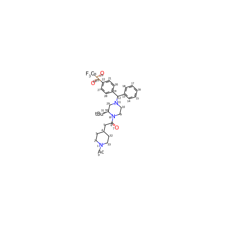 CC(=O)N1CCC(CC(=O)N2CCN(C(c3ccccc3)c3ccc(S(=O)(=O)C(F)(F)F)cc3)C[C@@H]2C(C)(C)C)CC1